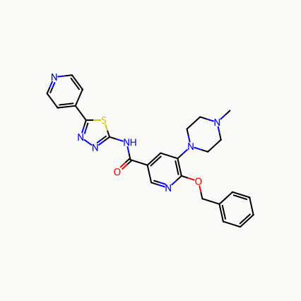 CN1CCN(c2cc(C(=O)Nc3nnc(-c4ccncc4)s3)cnc2OCc2ccccc2)CC1